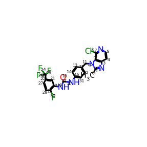 Cc1nc2ccnc(Cl)c2n1Cc1ccc(NC(=O)Nc2cc(C(F)(F)F)ccc2F)cc1